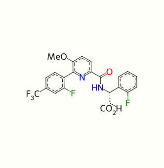 COc1ccc(C(=O)N[C@@H](CC(=O)O)c2ccccc2F)nc1-c1ccc(C(F)(F)F)cc1F